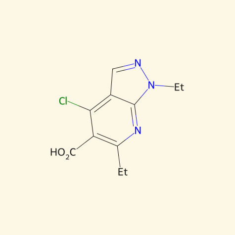 CCc1nc2c(cnn2CC)c(Cl)c1C(=O)O